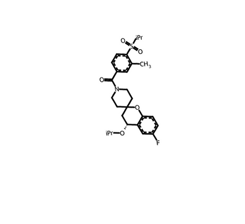 Cc1cc(C(=O)N2CCC3(CC2)C[C@@H](OC(C)C)c2cc(F)ccc2O3)ccc1S(=O)(=O)C(C)C